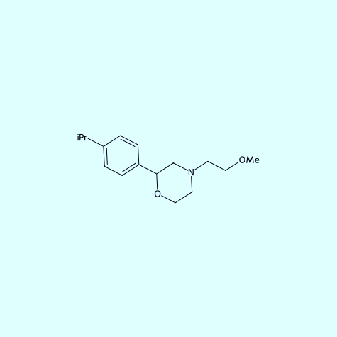 COCCN1CCOC(c2ccc(C(C)C)cc2)C1